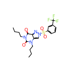 CCCCn1c(=O)c2nn(S(=O)(=O)c3cccc(C(F)(F)F)c3)cc2n(CCCC)c1=O